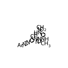 C=CC(=O)Nc1cccc(Nc2nc(Nc3ccc(N4CCN(C(C)=O)CC4)cc3C(F)(F)F)ncc2C)c1